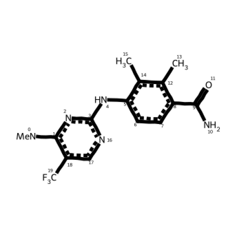 CNc1nc(Nc2ccc(C(N)=O)c(C)c2C)ncc1C(F)(F)F